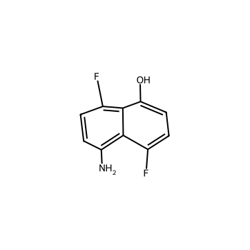 Nc1ccc(F)c2c(O)ccc(F)c12